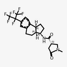 CN1C[C@@H](C(=O)N[C@@H]2CC[C@H]3c4ccc(C(F)(C(F)(F)F)C(F)(F)F)cc4CC[C@@H]23)CC1=O